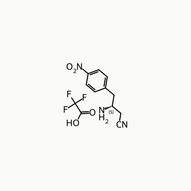 N#CC[C@@H](N)Cc1ccc([N+](=O)[O-])cc1.O=C(O)C(F)(F)F